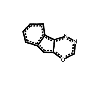 c1ccc2c3nncoc-3cc2c1